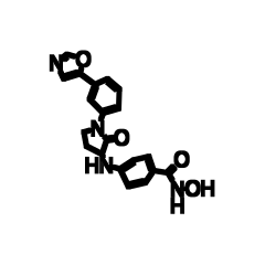 O=C(NO)c1ccc(NC2CCN(c3cccc(-c4cnco4)c3)C2=O)cc1